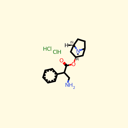 CN1C2CC[C@H]1C[C@H](OC(=O)C(CN)c1ccccc1)C2.Cl.Cl